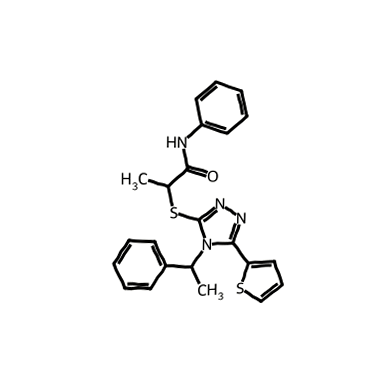 CC(Sc1nnc(-c2cccs2)n1C(C)c1ccccc1)C(=O)Nc1ccccc1